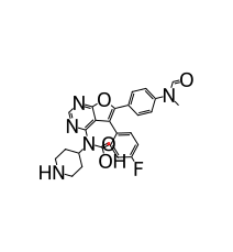 CN(C=O)c1ccc(-c2oc3ncnc(N(C(=O)O)C4CCNCC4)c3c2-c2ccc(F)cc2)cc1